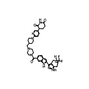 CC12Cc3[nH]nc(-c4cc5ccc(C(=O)N6CCN(CC7CCN(c8ccc(C9CCC(=O)NC9=O)cn8)CC7)CC6)cc5[nH]4)c3C[C@@H]1C2(F)F